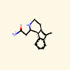 CC1=C2CCNC(CC(N)=O)C2c2ccccc21